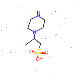 CC(CS(=O)(=O)O)N1CCNCC1